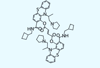 CC(CN1CCCC1)N1c2ccccc2Sc2ccc(C(=O)NCC3CCC3)c(OC(=O)/C=C/C(=O)Oc3c(C(=O)NCC4CCC4)ccc4c3N(C(C)CN3CCCC3)c3ccccc3S4)c21